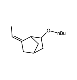 CC=C1CC2CC(OCCCC)C1C2